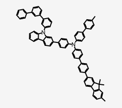 Cc1ccc(-c2ccc(N(c3ccc(-c4ccc(-c5ccc6c(c5)C(C)(C)c5cc(C)ccc5-6)cc4)cc3)c3ccc(-c4ccc5c6ccccc6n(-c6cccc(-c7cccc(-c8ccccc8)c7)c6)c5c4)cc3)cc2)cc1